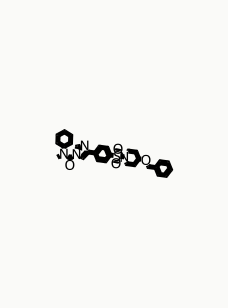 CN(C(=O)n1cnc(-c2ccc(S(=O)(=O)N3CCC(OCc4ccccc4)CC3)cc2)c1)C1CCCCC1